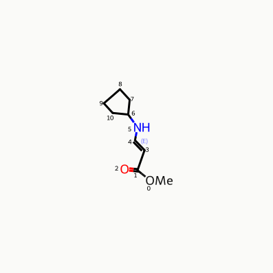 COC(=O)/C=C/NC1CCCC1